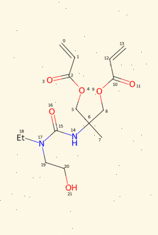 C=CC(=O)OCC(C)(COC(=O)C=C)NC(=O)N(CC)CCO